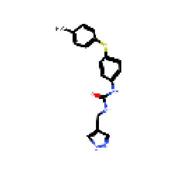 Cc1ccc(Sc2ccc(NC(=O)NCc3cn[nH]c3)cc2)cc1